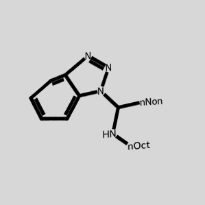 CCCCCCCCCC(NCCCCCCCC)n1nnc2ccccc21